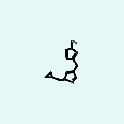 Cn1ccc(Cc2cnn(CC3CC3)c2)n1